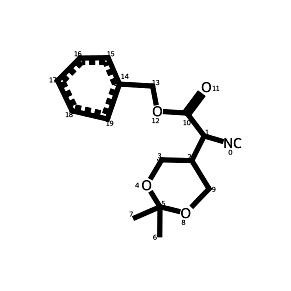 [C-]#[N+]C([C]1[CH]OC(C)(C)OC1)C(=O)OCc1ccccc1